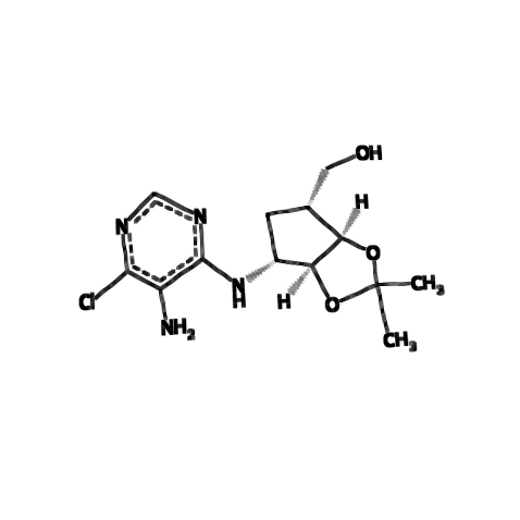 CC1(C)O[C@@H]2[C@@H](CO)C[C@@H](Nc3ncnc(Cl)c3N)[C@@H]2O1